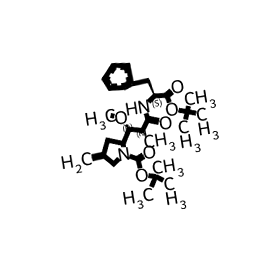 C=C1CC([C@H](OC)[C@@H](C)C(=O)N[C@@H](Cc2ccccc2)C(=O)OC(C)(C)C)N(C(=O)OC(C)(C)C)C1